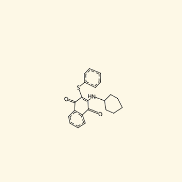 O=C1C(NC2CCCCC2)=C(Sc2ccccc2)C(=O)c2ccccc21